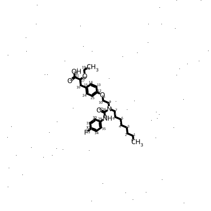 CCCCCCCCN(CCOc1ccc(CC(OCC)C(=O)O)cc1)C(=O)Nc1ccc(F)cc1